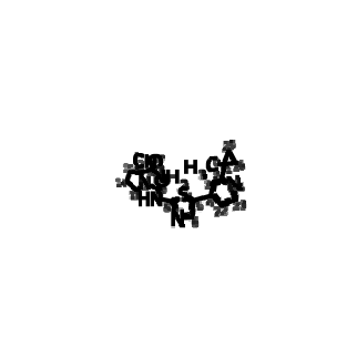 CC1(c2cc(-c3cnc(NC(=O)N4CCC[C@@]4(C)C(N)=O)s3)ccn2)CC1